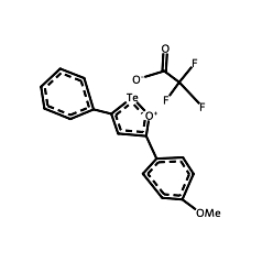 COc1ccc(-c2cc(-c3ccccc3)[te][o+]2)cc1.O=C([O-])C(F)(F)F